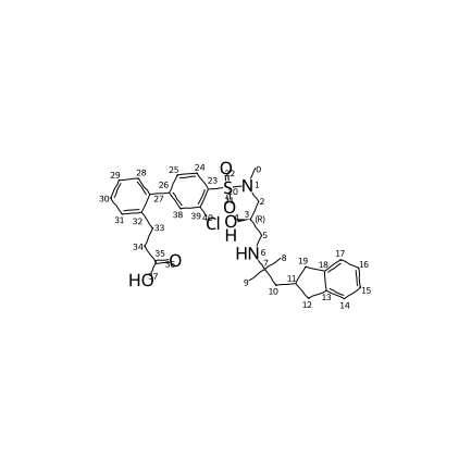 CN(C[C@H](O)CNC(C)(C)CC1Cc2ccccc2C1)S(=O)(=O)c1ccc(-c2ccccc2CCC(=O)O)cc1Cl